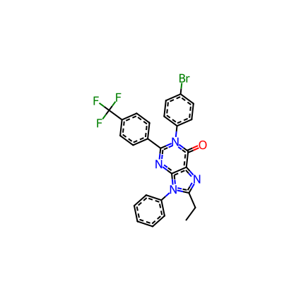 CCc1nc2c(=O)n(-c3ccc(Br)cc3)c(-c3ccc(C(F)(F)F)cc3)nc2n1-c1ccccc1